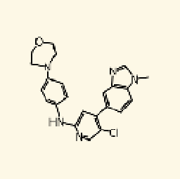 Cn1cnc2cc(-c3cc(Nc4ccc(N5CCOCC5)cc4)ncc3Cl)ccc21